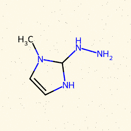 CN1C=CNC1NN